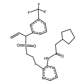 C=CC(c1cccc(C(F)(F)F)c1)S(=O)(=O)CCSc1ncccc1NC(=O)CC1CCCC1